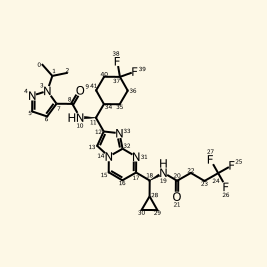 CC(C)n1nccc1C(=O)N[C@H](c1cn2ccc([C@@H](NC(=O)CCC(F)(F)F)C3CC3)nc2n1)C1CCC(F)(F)CC1